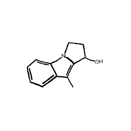 Cc1c2n(c3ccccc13)CCC2O